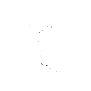 CCCCCCCCCOCC/C=C\CCCCCCC(=O)OC(CO[Si](C(C)C)(C(C)C)C(C)C)CO[Si](C(C)C)(C(C)C)C(C)C